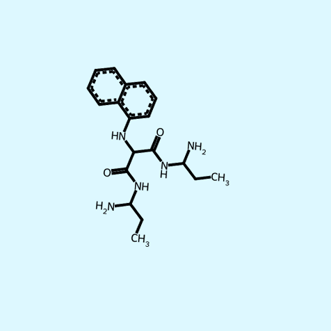 CCC(N)NC(=O)C(Nc1cccc2ccccc12)C(=O)NC(N)CC